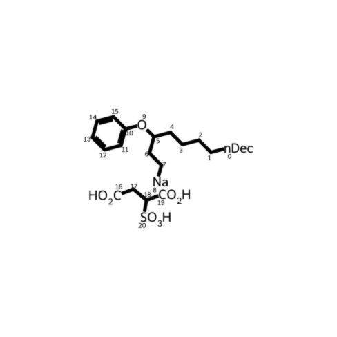 CCCCCCCCCCCCCCC(C[CH2][Na])Oc1ccccc1.O=C(O)CC(C(=O)O)S(=O)(=O)O